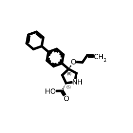 C=CCO[C@]1(c2ccc(C3C=CC=CC3)cc2)CN[C@H](C(=O)O)C1